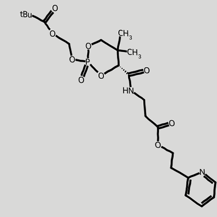 CC(C)(C)C(=O)OCOP1(=O)OCC(C)(C)[C@H](C(=O)NCCC(=O)OCCc2ccccn2)O1